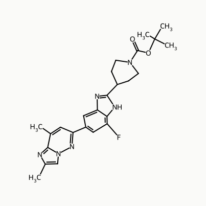 Cc1cn2nc(-c3cc(F)c4[nH]c(C5CCN(C(=O)OC(C)(C)C)CC5)nc4c3)cc(C)c2n1